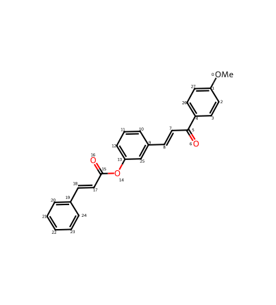 COc1ccc(C(=O)C=Cc2cccc(OC(=O)C=Cc3ccccc3)c2)cc1